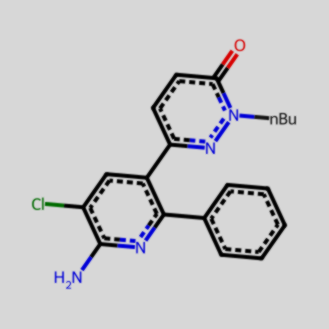 CCCCn1nc(-c2cc(Cl)c(N)nc2-c2ccccc2)ccc1=O